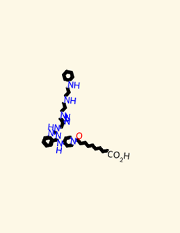 O=C(O)CCCCCCCCC(=O)N1CCC(Nc2nc(NCc3cn(CCCNCCCNC4CCCCC4)nn3)nc3ccccc23)CC1